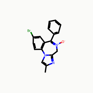 Cc1cn2c(n1)C[N+]([O-])=C(c1ccccc1)c1cc(Br)ccc1-2